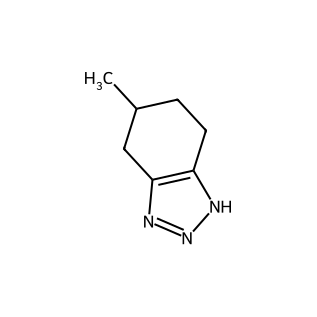 CC1CCc2[nH]nnc2C1